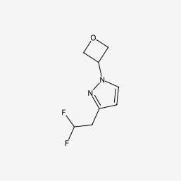 FC(F)Cc1ccn(C2COC2)n1